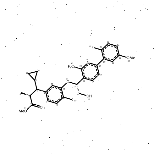 COC(=O)[C@@H](C)C(c1ccc(I)c(O[C@@H](CO)c2ccc(-c3cc(OC)ccc3F)nc2C(F)(F)F)c1)C1CC1